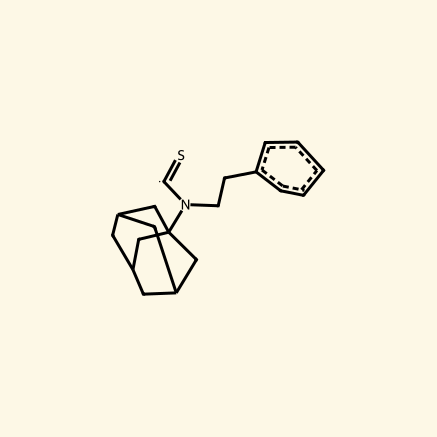 S=[C]N(CCc1ccccc1)C12CC3CC(CC(C3)C1)C2